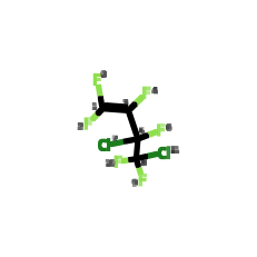 FC(F)=C(F)C(F)(Cl)C(F)(F)Cl